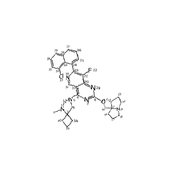 CN(C)C1(CNc2nc(OCC34CCCN3CCC4)nc3c(F)c(-c4cccc5cccc(Cl)c45)ncc23)CCC1